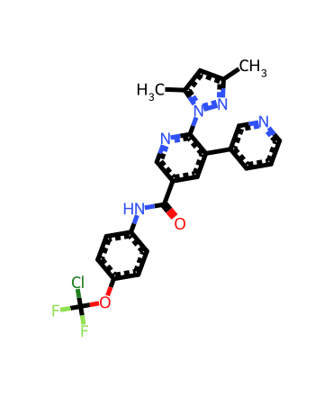 Cc1cc(C)n(-c2ncc(C(=O)Nc3ccc(OC(F)(F)Cl)cc3)cc2-c2cccnc2)n1